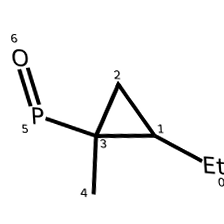 CCC1CC1(C)P=O